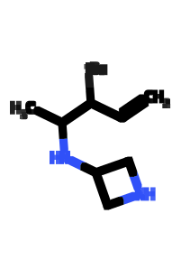 C=CC(C(C)NC1CNC1)C(C)(C)C